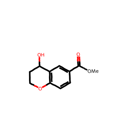 COC(=O)c1ccc2c(c1)C(O)CCO2